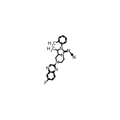 Cc1ccccc1N1/C(=N/C#N)N2CCN(c3cnc4cc(F)ccc4n3)CC2C1C